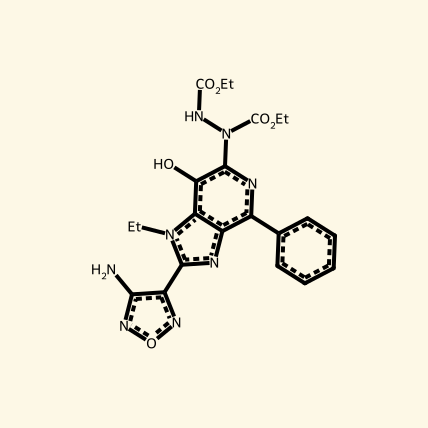 CCOC(=O)NN(C(=O)OCC)c1nc(-c2ccccc2)c2nc(-c3nonc3N)n(CC)c2c1O